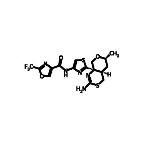 C[C@H]1C[C@H]2CSC(N)=N[C@@]2(c2nc(NC(=O)c3coc(C(F)(F)F)n3)cs2)CO1